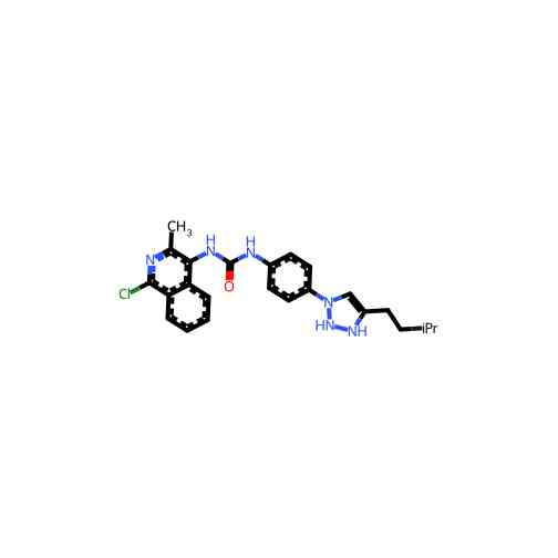 Cc1nc(Cl)c2ccccc2c1NC(=O)Nc1ccc(N2C=C(CCC(C)C)NN2)cc1